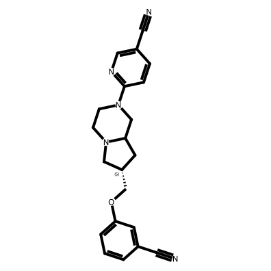 N#Cc1ccc(N2CCN3C[C@@H](COc4cccc(C#N)c4)CC3C2)nc1